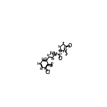 CN1C(=O)CC[C@H]1C(=O)NCCc1cccc(Cl)c1F